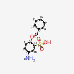 Nc1ccc(OCc2ccccc2)c(S(=O)(=O)O)c1